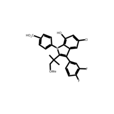 COCC(C)(C)c1c(-c2ccc(F)c(F)c2)c2cc(Cl)cc(O)c2n1-c1ccc(C(=O)O)cc1